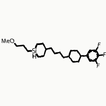 COCCC[SiH]1CCC(CCCCC2CCC(c3cc(F)c(F)c(F)c3)CC2)CC1